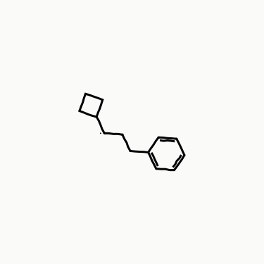 [CH](CCc1ccccc1)C1CCC1